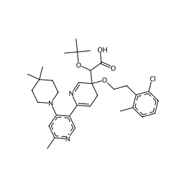 Cc1cc(N2CCC(C)(C)CC2)c(C2=CCC(OCCc3c(C)cccc3Cl)(C(OC(C)(C)C)C(=O)O)C=N2)cn1